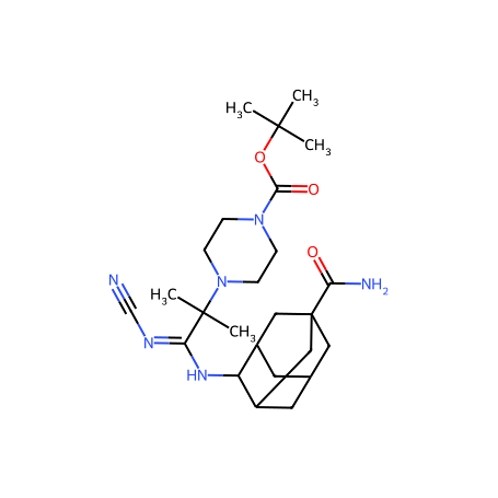 CC(C)(C)OC(=O)N1CCN(C(C)(C)/C(=N\C#N)NC2C3CC4CC2CC(C(N)=O)(C4)C3)CC1